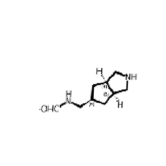 O=[C]NC[C@H]1C[C@H]2CNC[C@H]2C1